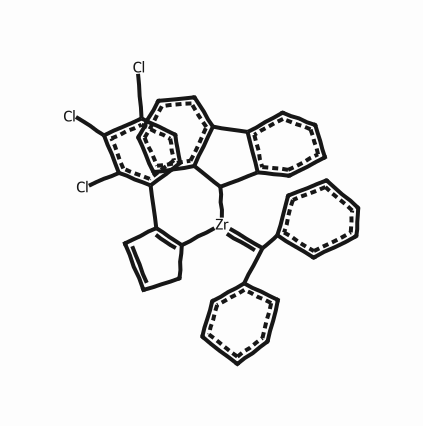 Clc1ccc(C2=[C]([Zr](=[C](c3ccccc3)c3ccccc3)[CH]3c4ccccc4-c4ccccc43)CC=C2)c(Cl)c1Cl